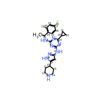 CC(Nc1nc(Nc2cc(C3CCNCC3)[nH]n2)nc(C2CC2)n1)c1ccc(F)cc1F